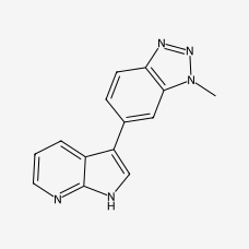 Cn1nnc2ccc(-c3c[nH]c4ncccc34)cc21